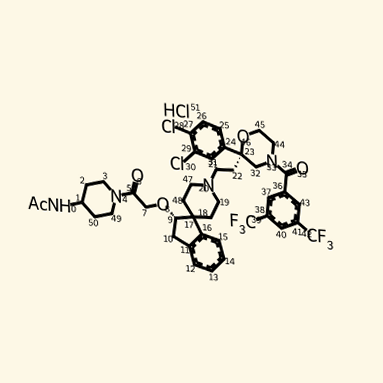 CC(=O)NC1CCN(C(=O)CO[C@H]2Cc3ccccc3C23CCN(CC[C@@]2(c4ccc(Cl)c(Cl)c4)CN(C(=O)c4cc(C(F)(F)F)cc(C(F)(F)F)c4)CCO2)CC3)CC1.Cl